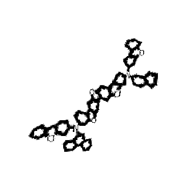 c1ccc2cc(N(c3ccc4c(c3)oc3ccccc34)c3ccc4c(c3)oc3cc5c(cc34)oc3cc4c(cc35)oc3cc(N(c5ccc6c(c5)oc5ccccc56)c5cc6ccccc6c6ccccc56)ccc34)ccc2c1